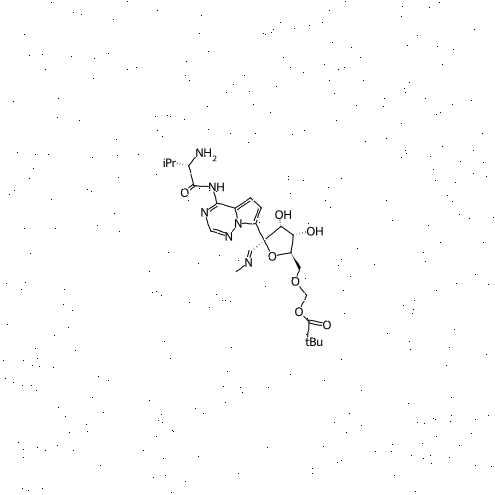 CN=C[C@@]1(c2ccc3c(NC(=O)[C@@H](N)C(C)C)ncnn23)O[C@H](COCOC(=O)C(C)(C)C)[C@@H](O)[C@H]1O